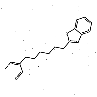 CC=C(C=O)CCCCCCc1cc2ccccc2s1